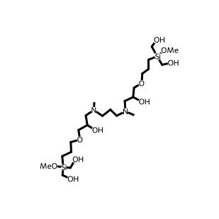 CO[Si](CO)(CO)CCCOCC(O)CN(C)CCCN(C)CC(O)COCCC[Si](CO)(CO)OC